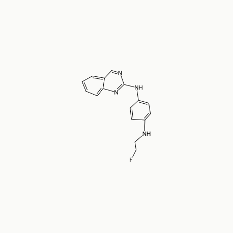 FCCNc1ccc(Nc2ncc3ccccc3n2)cc1